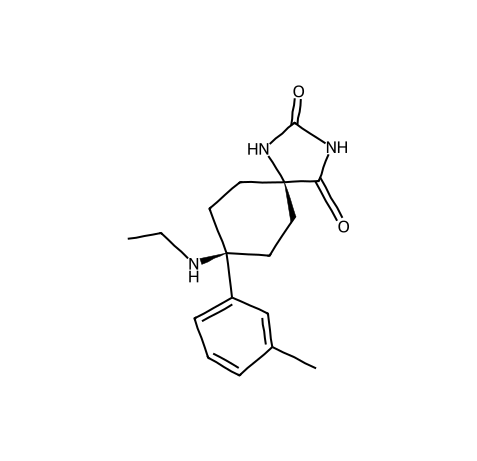 CCN[C@]1(c2cccc(C)c2)CC[C@@]2(CC1)NC(=O)NC2=O